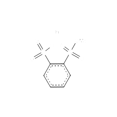 COS(=O)(=O)c1ccccc1S(=O)(=O)[O-].[Fr+]